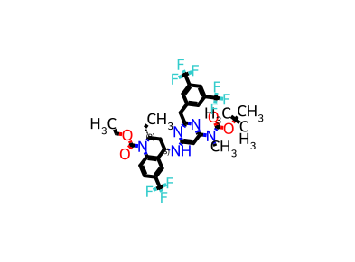 CCOC(=O)N1c2ccc(C(F)(F)F)cc2[C@@H](Nc2cc(N(C)C(=O)OC(C)(C)C)nc(Cc3cc(C(F)(F)F)cc(C(F)(F)F)c3)n2)C[C@H]1CC